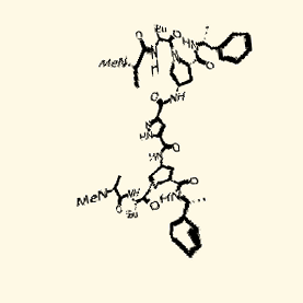 CC[C@H](C)[C@H](NC(=O)[C@H](C)NC)C(=O)N1C[C@@H](NC(=O)c2cc(C(=O)N[C@H]3C[C@@H](C(=O)N[C@H](C)c4ccccc4)N(C(=O)[C@@H](NC(=O)[C@H](C)NC)[C@@H](C)CC)C3)[nH]n2)C[C@H]1C(=O)N[C@H](C)c1ccccc1